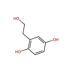 OCCc1cc(O)ccc1O